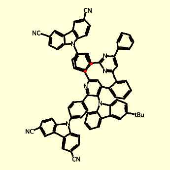 CC(C)(C)c1ccc2c(c1)c1ccccc1n2-c1c(-c2ccccc2-c2cc(-c3ccccc3)nc(-c3ccccc3)n2)cc(-c2ccc(-n3c4ccc(C#N)cc4c4cc(C#N)ccc43)cc2)nc1-c1ccc(-n2c3ccc(C#N)cc3c3cc(C#N)ccc32)cc1